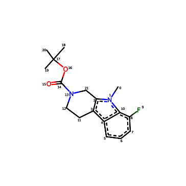 Cn1c2c(c3cccc(F)c31)CCN(C(=O)OC(C)(C)C)C2